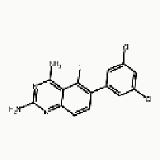 Nc1nc(N)c2c(Cl)c(-c3cc(Cl)cc(Cl)c3)ccc2n1